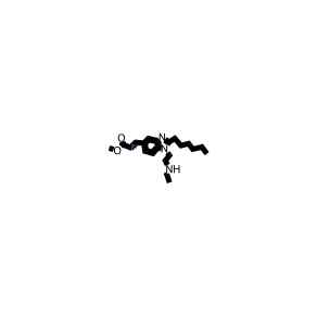 CCCCCCc1nc2cc(/C=C/C(=O)OC)ccc2n1CCNCC